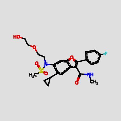 CNC(=O)c1c(-c2ccc(F)cc2)oc2cc(N(CCOCCO)S(C)(=O)=O)c(C3CC3)cc12